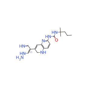 CCCC(C)(C)NC(=O)Nc1ccc2c(n1)C=C(/C(C=N)=C/NN)CN2